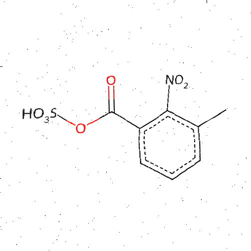 Cc1cccc(C(=O)OS(=O)(=O)O)c1[N+](=O)[O-]